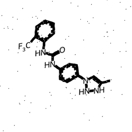 CC1=CN(c2ccc(NC(=O)Nc3ccccc3C(F)(F)F)cc2)NN1